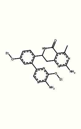 CCOc1ccc(C2Cc3nc(N)nc(C)c3C(=O)N2)c(-c2cnc(N)c(OCC)n2)c1